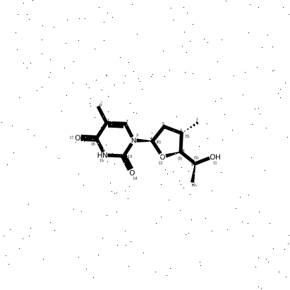 Cc1cn([C@H]2C[C@H](C)[C@@H]([C@H](C)O)O2)c(=O)[nH]c1=O